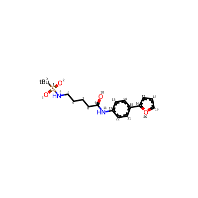 CC(C)(C)S(=O)(=O)NCCCCC(=O)Nc1ccc(-c2ccco2)cc1